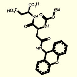 CC(C)(C)OC(=O)N[C@@H](CC(=O)NC1c2ccccc2Oc2ccccc21)C(=O)N[C@@H](CC(=O)O)C(=O)O